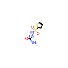 NC(=O)NNS(=O)(=O)c1cccs1